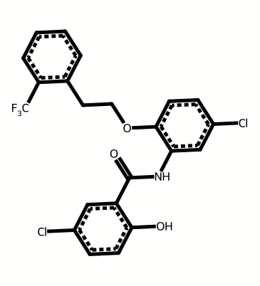 O=C(Nc1cc(Cl)ccc1OCCc1ccccc1C(F)(F)F)c1cc(Cl)ccc1O